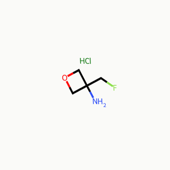 Cl.NC1(CF)COC1